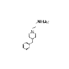 CC(=O)NCCCN1CCC(Cc2ccccc2)CC1